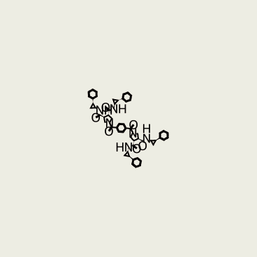 O=C(NC1C[C@@H]1c1ccccc1)[C@@H]1CN(C(=O)c2ccc(C(=O)N3C[C@@H](C(=O)N[C@H]4C[C@@H]4c4ccccc4)[C@H](C(=O)N[C@H]4C[C@@H]4c4ccccc4)C3)cc2)C[C@H]1C(=O)N[C@H]1C[C@@H]1c1ccccc1